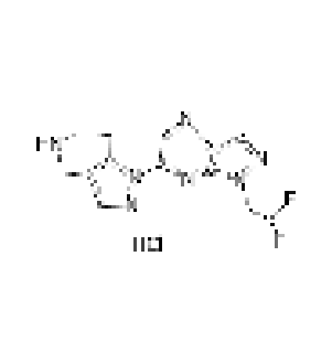 Cl.FC(F)Cn1ncc2ncc(-n3ncc4c3CCNC4)nc21